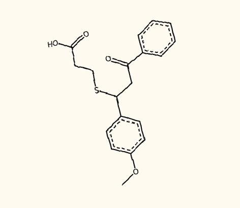 COc1ccc(C(CC(=O)c2ccccc2)SCCC(=O)O)cc1